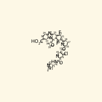 Cn1cc(CNC(=O)c2cc(Cl)c(COc3cccc(-c4cc(F)c(Cc5nc6ccc(C(=O)O)cc6n5C[C@@H]5CCO5)cc4F)n3)cn2)cn1